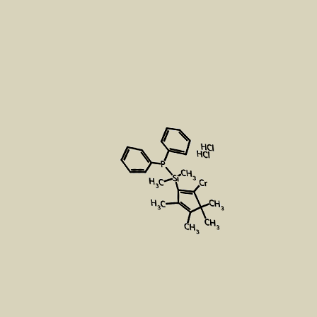 CC1=C(C)C(C)(C)[C]([Cr])=C1[Si](C)(C)P(c1ccccc1)c1ccccc1.Cl.Cl